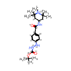 CN1C(C)(C)CC(NC(=O)c2ccc(NNC(=O)OC(C)(C)C)cc2)CC1(C)C